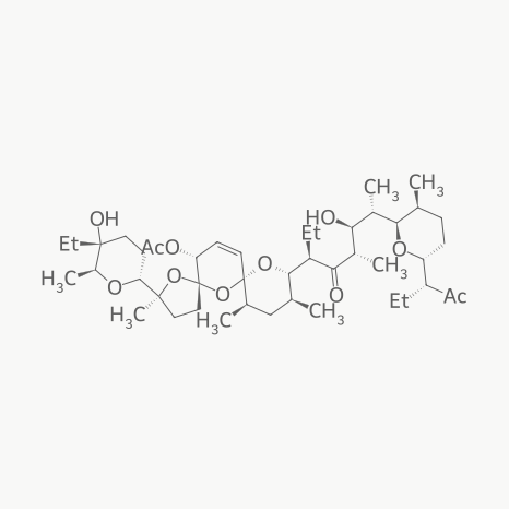 CC[C@@H](C(=O)[C@@H](C)[C@@H](O)[C@H](C)[C@@H]1O[C@@H]([C@@H](CC)C(C)=O)CC[C@@H]1C)[C@H]1O[C@]2(C=C[C@@H](OC(C)=O)[C@]3(CC[C@@](C)([C@H]4CC[C@](O)(CC)[C@H](C)O4)O3)O2)[C@H](C)C[C@@H]1C